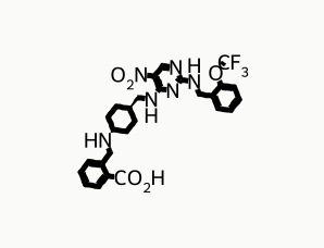 O=C(O)c1ccccc1CN[C@H]1CC[C@H](CNc2nc(NCc3ccccc3OC(F)(F)F)ncc2[N+](=O)[O-])CC1